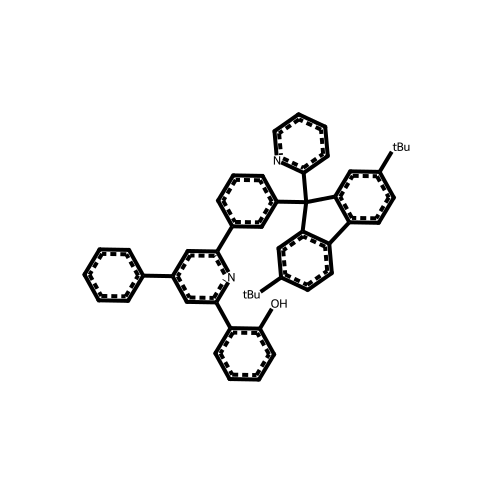 CC(C)(C)c1ccc2c(c1)C(c1cccc(-c3cc(-c4ccccc4)cc(-c4ccccc4O)n3)c1)(c1ccccn1)c1cc(C(C)(C)C)ccc1-2